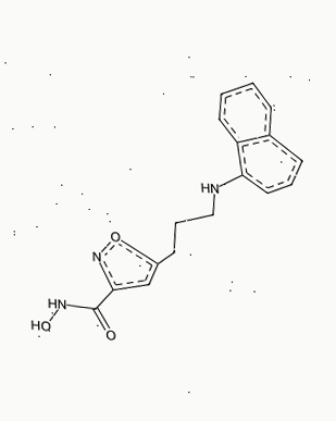 O=C(NO)c1cc(CCCNc2cccc3ccccc23)on1